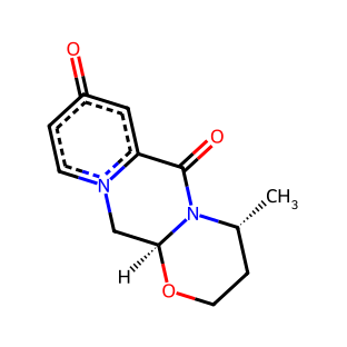 C[C@@H]1CCO[C@H]2Cn3ccc(=O)cc3C(=O)N12